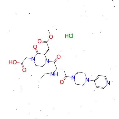 CCN[C@@H](CC(=O)N1CCN(c2ccncc2)CC1)C(=O)N1CCN(CC(=O)O)C(=O)[C@H]1CC(=O)OC.Cl